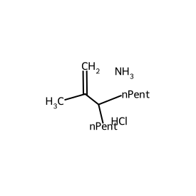 C=C(C)C(CCCCC)CCCCC.Cl.N